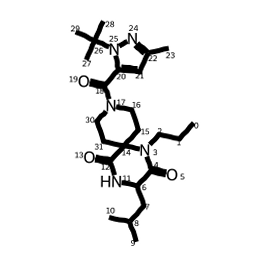 CCCN1C(=O)C(CC(C)C)NC(=O)C12CCN(C(=O)c1cc(C)nn1C(C)(C)C)CC2